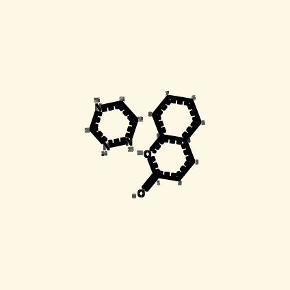 O=c1ccc2ccccc2o1.c1cnncn1